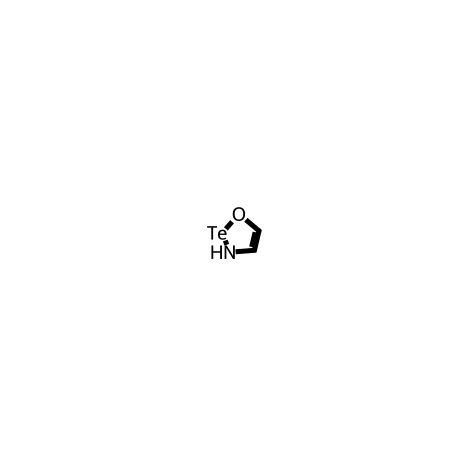 C1=CO[Te]N1